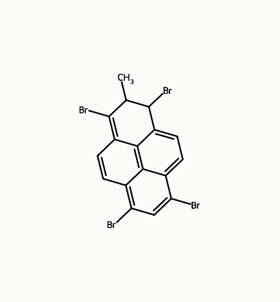 CC1C(Br)=c2ccc3c(Br)cc(Br)c4ccc(c2c43)C1Br